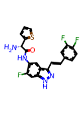 N[C@@H](C(=O)Nc1cc2c(/C=C/c3ccc(F)c(F)c3)n[nH]c2cc1F)c1cccs1